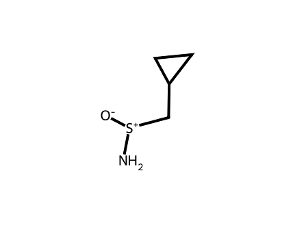 N[S+]([O-])CC1CC1